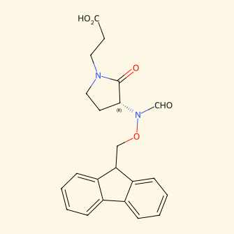 O=CN(OCC1c2ccccc2-c2ccccc21)[C@@H]1CCN(CCC(=O)O)C1=O